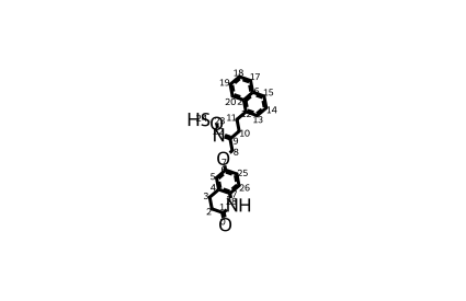 O=C1CCc2cc(OCC(CCc3cccc4ccccc34)=NOS)ccc2N1